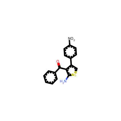 Nc1scc(-c2ccc([N+](=O)[O-])cc2)c1C(=O)c1ccccc1